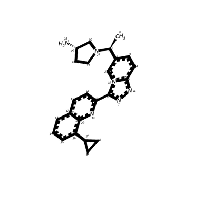 C[C@@H](c1ccc2nnc(-c3ccc4cccc(C5CC5)c4n3)n2c1)N1CC[C@H](N)C1